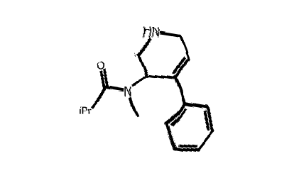 CC(C)C(=O)N(C)C1[C]NCC=C1c1ccccc1